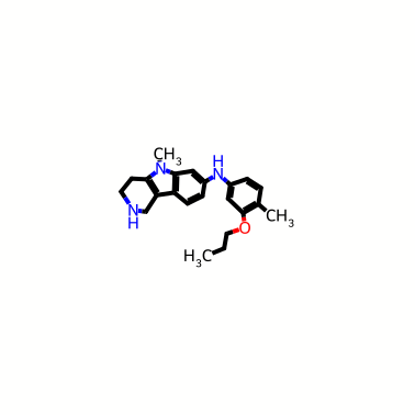 CCCOc1cc(Nc2ccc3c4c(n(C)c3c2)CCNC4)ccc1C